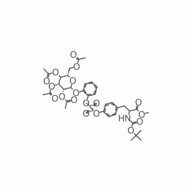 COC(=O)C(Cc1ccc(OS(=O)(=O)Oc2ccccc2O[C@@H]2O[C@H](COC(C)=O)[C@H](OC(C)=O)[C@H](OC(C)=O)[C@H]2OC(C)=O)cc1)NC(=O)OC(C)(C)C